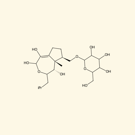 CC(C)CC1OC(O)C(O)=C2CC[C@@H](COC3OC(CO)C(O)C(O)C3O)[C@]2(C)[C@@H]1O